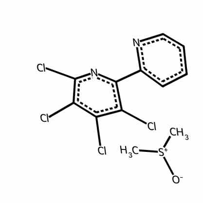 C[S+](C)[O-].Clc1nc(-c2ccccn2)c(Cl)c(Cl)c1Cl